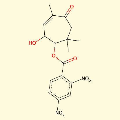 CC1=CC(O)C(OC(=O)c2ccc([N+](=O)[O-])cc2[N+](=O)[O-])C(C)(C)CC1=O